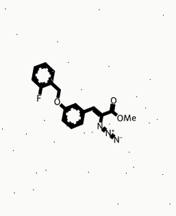 COC(=O)C(=Cc1cccc(OCc2ccccc2F)c1)N=[N+]=[N-]